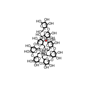 OC[C@H]1O[C@H](O[C@H]2[C@H](O)[C@@H](O)[C@@H](O[C@H]3[C@H](O)[C@@H](O)[C@@H](O[C@H]4[C@H](O)[C@@H](O)[C@@H](O[C@H]5[C@H](O)[C@@H](O)[C@@H](O[C@H]6[C@H](O)[C@@H](O)[C@@H](O[C@H]7[C@H](O)[C@@H](O)[C@@H](O[C@H]8[C@H](O)[C@@H](O)C(O)O[C@@H]8CO)O[C@@H]7CO)O[C@@H]6CO)O[C@@H]5CO)O[C@@H]4CO)O[C@@H]3CO)O[C@@H]2CO)[C@H](O)[C@@H](O)[C@@H]1O